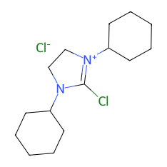 ClC1=[N+](C2CCCCC2)CCN1C1CCCCC1.[Cl-]